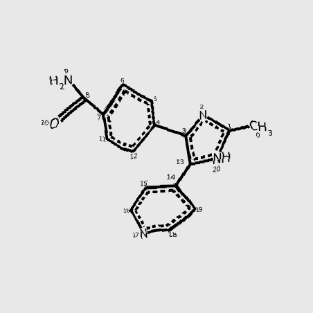 Cc1nc(-c2ccc(C(N)=O)cc2)c(-c2ccncc2)[nH]1